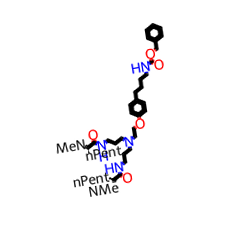 CCCCC[C@H](NC)C(=O)NCCCN(CCCNC(=O)[C@H](CCCCC)NC)CCOc1ccc(CCCCNC(=O)OCc2ccccc2)cc1